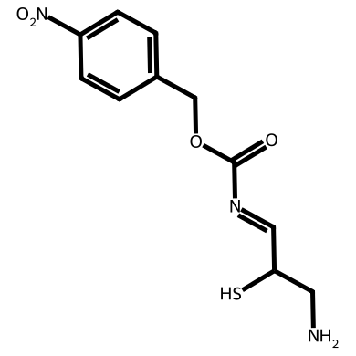 NCC(S)C=NC(=O)OCc1ccc([N+](=O)[O-])cc1